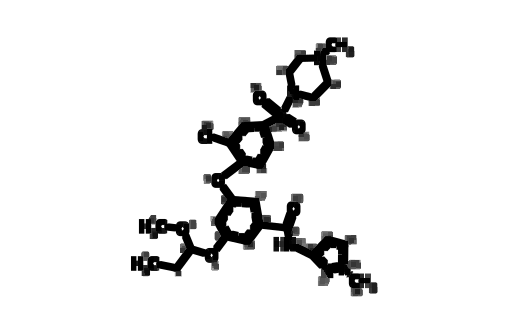 CCC(OC)Oc1cc(Oc2ccc(S(=O)(=O)N3CCN(C)CC3)cc2Cl)cc(C(=O)Nc2ccn(C)n2)c1